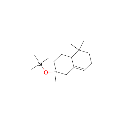 CC1(O[Si](C)(C)C)CCC2C(=CCCC2(C)C)C1